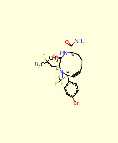 CC(C)(F)C[C@@H]1N[C@@](c2ccc(Br)cc2)(C(F)(F)F)C#CCCC[C@@H](C(N)=O)NC1=O